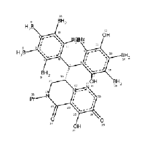 Bc1c(B)c(B)c(C(c2c(B)c(O)c(B)c(B)c2O)[C@H]2CN(C(C)C)C(=O)c3c(O)c(=O)cnn32)c(B)c1B